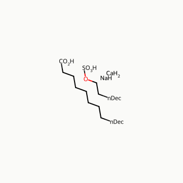 CCCCCCCCCCCCCCCCCC(=O)O.CCCCCCCCCCCCOS(=O)(=O)O.[CaH2].[NaH]